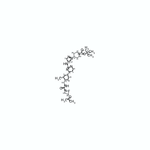 Cc1cc(-c2ccnc(Nc3cnn(C4CCN(C(=O)OC(C)(C)C)CC4)c3)n2)ccc1CNC(=O)N1CC(OC(C)C)C1